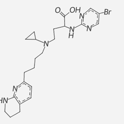 O=C(O)C(CCN(CCCCc1ccc2c(n1)NCCC2)C1CC1)Nc1ncc(Br)cn1